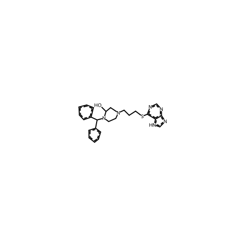 OC1CN(CCCSc2ncnc3nc[nH]c23)CCN1C(c1ccccc1)c1ccccc1